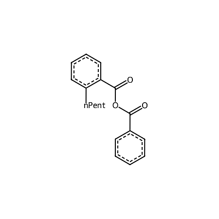 CCCCCc1ccccc1C(=O)OC(=O)c1ccccc1